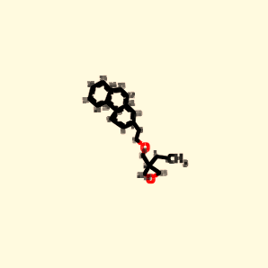 CCC1(COCCc2ccc3c(ccc4ccccc43)c2)COC1